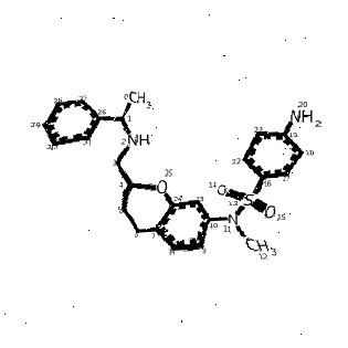 C[C@@H](NCC1CCc2ccc(N(C)S(=O)(=O)c3ccc(N)cc3)cc2O1)c1ccccc1